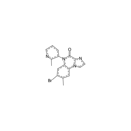 Cc1cc2c(cc1Br)n(-c1cccnc1C)c(=O)c1nccn12